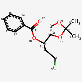 CC1(C)OC[C@@H]([C@@H](CCCl)OC(=O)c2ccccc2)O1